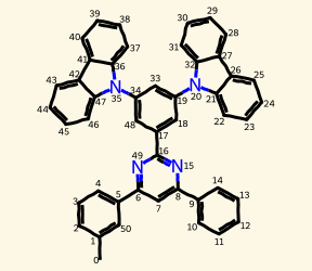 Cc1cccc(-c2cc(-c3ccccc3)nc(-c3cc(-n4c5ccccc5c5ccccc54)cc(-n4c5ccccc5c5ccccc54)c3)n2)c1